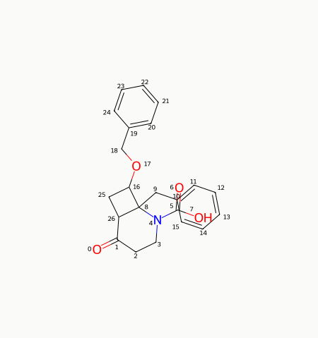 O=C1CCN(C(=O)O)C2(Cc3ccccc3)C(OCc3ccccc3)CC12